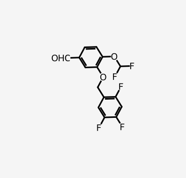 O=Cc1ccc(OC(F)F)c(OCc2cc(F)c(F)cc2F)c1